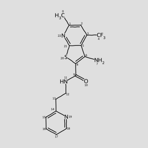 Cc1cc(C(F)(F)F)c2c(N)c(C(=O)NCCc3ccccn3)sc2n1